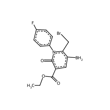 Bc1cc(C(=O)OCC)c(=O)n(-c2ccc(F)cc2)c1CBr